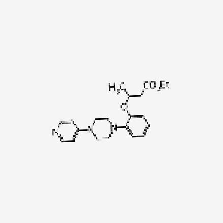 CCOC(=O)CC(C)Oc1ccccc1N1CCN(c2ccncc2)CC1